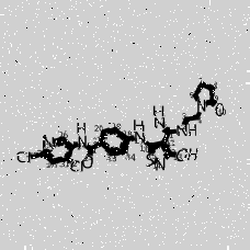 N=C(NCCN1CCCC1=O)c1c(O)nsc1Nc1ccc(C(=O)Nc2cnc(Cl)cc2Cl)cc1